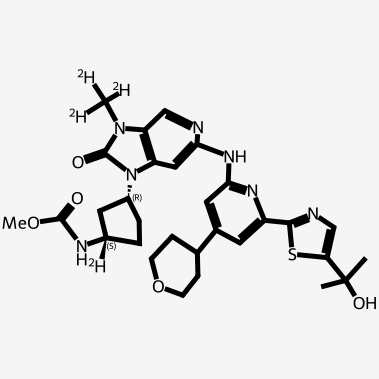 [2H]C([2H])([2H])n1c(=O)n([C@@H]2CC[C@]([2H])(NC(=O)OC)C2)c2cc(Nc3cc(C4CCOCC4)cc(-c4ncc(C(C)(C)O)s4)n3)ncc21